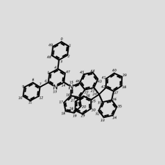 c1ccc(-c2cc(-c3ccccc3)nc(-n3c4ccccc4c4c(C5(c6ccccc6)c6ccccc6-c6ccccc65)cccc43)c2)cc1